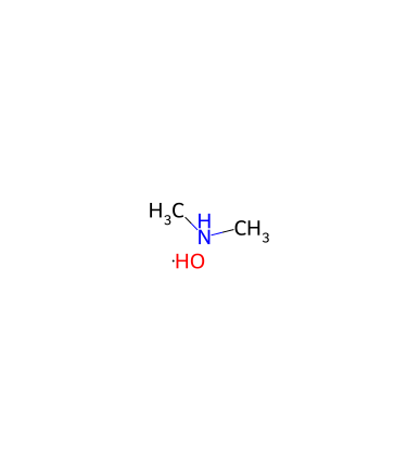 CNC.[OH]